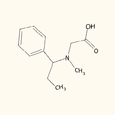 CCC(c1ccccc1)N(C)CC(=O)O